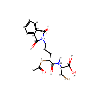 CC(=O)S[C@@H](CCCN1C(=O)c2ccccc2C1=O)C(=O)N(C)[C@H](CS)C(=O)O